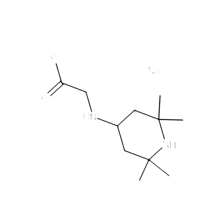 CC1(C)CC(NCC(=O)[O-])CC(C)(C)N1.[Na+]